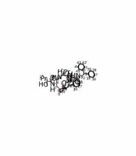 CC(C)[C@H](O)C(=O)N[C@H]1Cc2ccc3c(c2)C2(c4ccccc4NC2O3)c2oc(nc2C(=O)NCC(c2ccccc2)c2ccccc2)[C@H](C(C)C)NC1=O